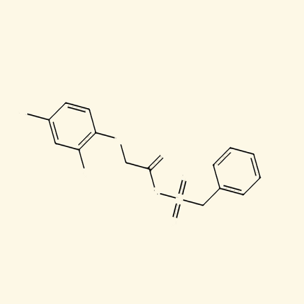 O=C(COc1ccc(Cl)cc1Cl)NS(=O)(=O)Cc1ccccc1